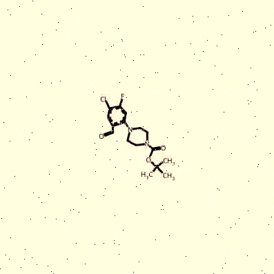 CC(C)(C)OC(=O)N1CCN(c2cc(F)c(Cl)cc2C=O)CC1